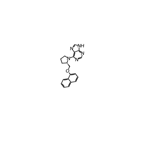 c1ccc2c(OC[C@H]3CCCN3c3ncnc4[nH]cnc34)cccc2c1